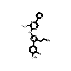 COc1ccc(-c2nc(Nc3ncc(-c4cccs4)nc3C(=O)O)sc2CCC(C)C)cc1Cl